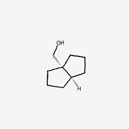 OC[C@]12CCC[C@H]1CCC2